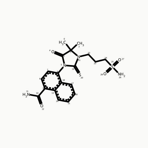 CC1(C)C(=O)N(c2ccc(C(N)=O)c3ccccc23)C(=S)N1CCCS(N)(=O)=O